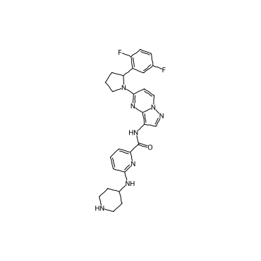 O=C(Nc1cnn2ccc(N3CCCC3c3cc(F)ccc3F)nc12)c1cccc(NC2CCNCC2)n1